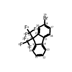 FC(F)(F)C1(C(F)(F)F)c2ccccc2-c2ccc(Br)cc21